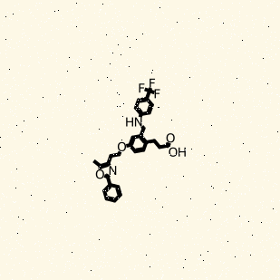 Cc1oc(-c2ccccc2)nc1CCOc1ccc(CCC(=O)O)c(CNc2ccc(C(F)(F)F)cc2)c1